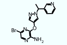 CC(c1cccnc1)n1cc(Oc2nc(Br)cnc2N)cn1